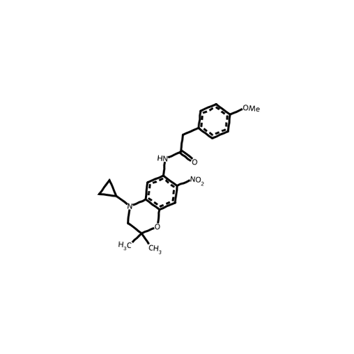 COc1ccc(CC(=O)Nc2cc3c(cc2[N+](=O)[O-])OC(C)(C)CN3C2CC2)cc1